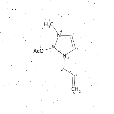 C=CCN1C=CN(C)C1OC(C)=O